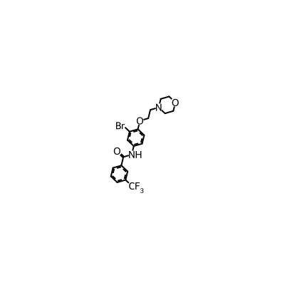 O=C(Nc1ccc(OCCN2CCOCC2)c(Br)c1)c1cccc(C(F)(F)F)c1